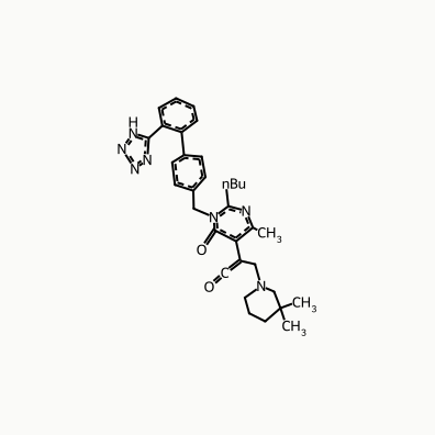 CCCCc1nc(C)c(C(=C=O)CN2CCCC(C)(C)C2)c(=O)n1Cc1ccc(-c2ccccc2-c2nnn[nH]2)cc1